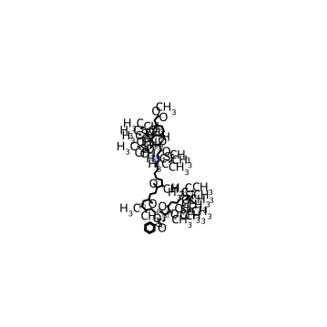 C=C1CC(CCC/C=C/C(O[Si](C)(C)C(C)(C)C)[C@@H]2O[C@H]3CCC(CC(=O)OC)O[C@@H]3C(O[Si](C)(C)C(C)(C)C)C2O[Si](C)(C)C(C)(C)C)OC1CCC1C[C@@H](C)C(=C)C(C[C@@H]2OC(CC(CO[Si](C)(C)C(C)(C)C)O[Si](C)(C)C(C)(C)C)[C@H](OC)[C@H]2CS(=O)(=O)c2ccccc2)O1